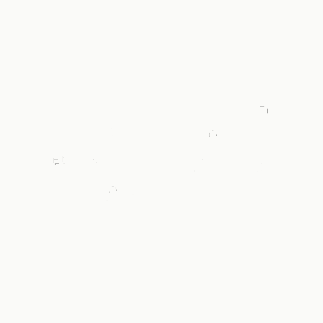 CCC(=O)O[C@@H]1CCC[C@H](OC(=O)CC)C1